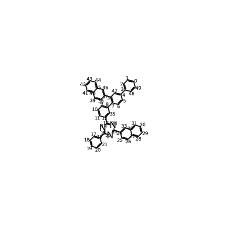 c1ccc(-c2ccc(-c3cccc(-c4nc(-c5ccccc5)nc(-c5ccc6ccccc6c5)n4)c3)c(-c3ccc4ccccc4c3)c2)cc1